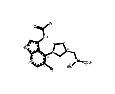 CC(C)C(=O)Nc1c[nH]c2ncc(Br)c(N3CC[C@@H](CN(C(=O)O)C(C)(C)C)C3)c12